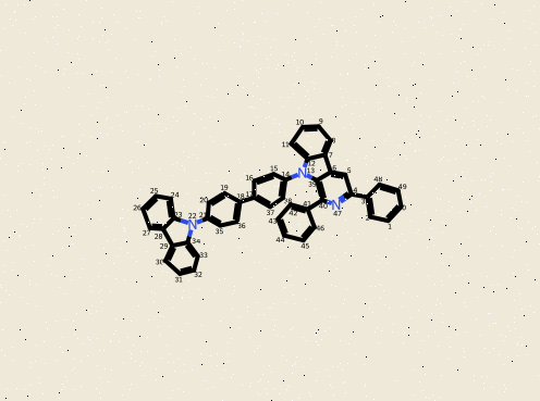 c1ccc(-c2cc3c4ccccc4n(-c4ccc(-c5ccc(-n6c7ccccc7c7ccccc76)cc5)cc4)c3c(-c3ccccc3)n2)cc1